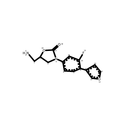 NCC1CN(c2ccc(-c3ccoc3)c(F)c2)C(=O)O1